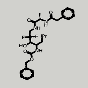 CC(C)CC(NC(=O)OCc1ccccc1)C(O)C(F)(F)CNC(=O)[C@@H](C)NC(=O)Cc1ccccc1